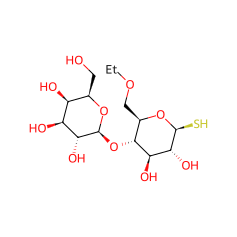 CCOC[C@H]1O[C@@H](S)[C@H](O)[C@@H](O)[C@@H]1O[C@@H]1O[C@H](CO)[C@H](O)[C@H](O)[C@H]1O